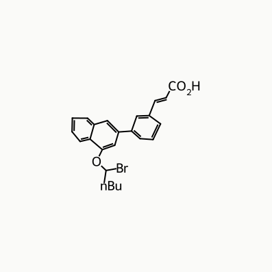 CCCCC(Br)Oc1cc(-c2cccc(C=CC(=O)O)c2)cc2ccccc12